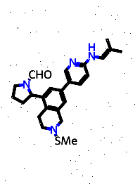 CSN1CCc2c(cc(-c3ccc(NC=C(C)C)nc3)cc2C2CCCN2C=O)C1